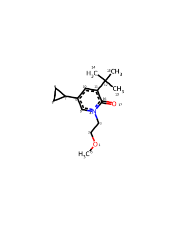 COCCn1cc(C2CC2)cc(C(C)(C)C)c1=O